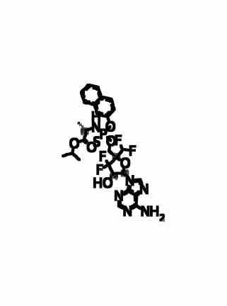 CC(C)OC(=O)[C@H](C)NP(=S)(OC[C@@]1(C(F)F)O[C@@H](n2cnc3c(N)ncnc32)[C@H](O)C1(F)F)Oc1ccc2ccccc2c1